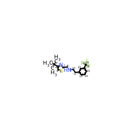 CC(C)(C)c1csc(CNCCc2cccc(C(F)(F)F)c2)n1